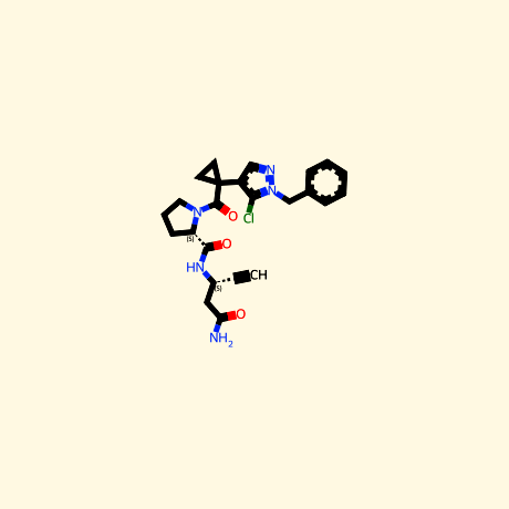 C#C[C@H](CC(N)=O)NC(=O)[C@@H]1CCCN1C(=O)C1(c2cnn(Cc3ccccc3)c2Cl)CC1